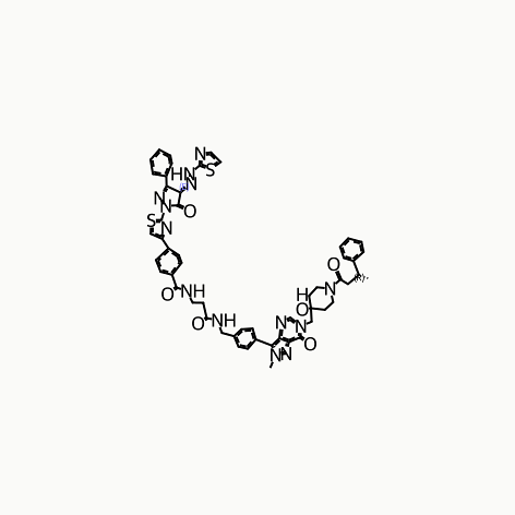 C[C@H](CC(=O)N1CCC(O)(Cn2cnc3c(-c4ccc(CNC(=O)CCNC(=O)c5ccc(-c6csc(N7N=C(c8ccccc8)/C(=N\Nc8nccs8)C7=O)n6)cc5)cc4)n(C)nc3c2=O)CC1)c1ccccc1